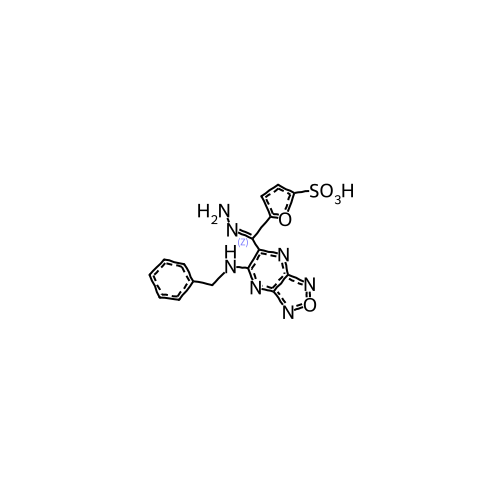 N/N=C(\c1ccc(S(=O)(=O)O)o1)c1nc2nonc2nc1NCc1ccccc1